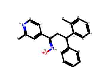 Cc1cc(C(CC(c2ccccc2)c2ccccc2C)=NO)ccn1